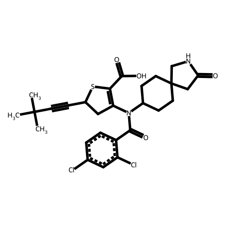 CC(C)(C)C#CC1CC(N(C(=O)c2ccc(Cl)cc2Cl)C2CCC3(CC2)CNC(=O)C3)=C(C(=O)O)S1